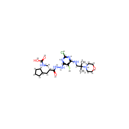 CC(C)(CNc1nc(Cl)nc(NNC(=O)[C@@H](CNC(=O)O)CC2CCCC2)c1F)N1CCOCC1